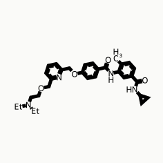 CCN(CC)CCOCc1cccc(COc2ccc(C(=O)Nc3cc(C(=O)NC4CC4)ccc3C)cc2)n1